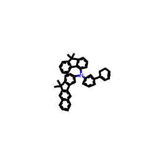 CC1(C)c2ccc(N(c3cccc(C4=CC=CCC4)c3)c3cccc4c3-c3ccccc3C4(C)C)cc2-c2cc3ccccc3cc21